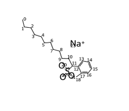 CCCCCCCCCCCC(c1ccccc1C)S(=O)(=O)[O-].[Na+]